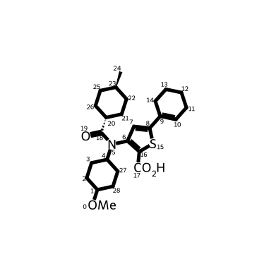 COC1CCC(N(c2cc(C3=CCCCC3)sc2C(=O)O)C(=O)[C@H]2CC[C@H](C)CC2)CC1